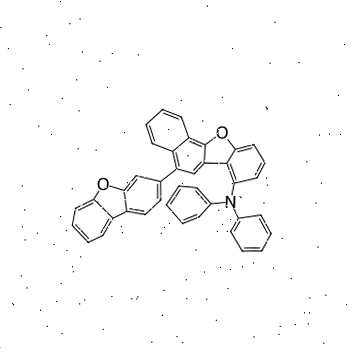 c1ccc(N(c2ccccc2)c2cccc3oc4c5ccccc5c(-c5ccc6c(c5)oc5ccccc56)cc4c23)cc1